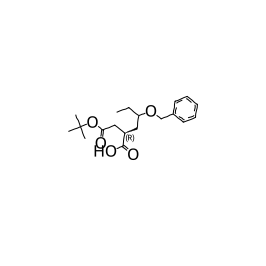 CCC(C[C@H](CC(=O)OC(C)(C)C)C(=O)O)OCc1ccccc1